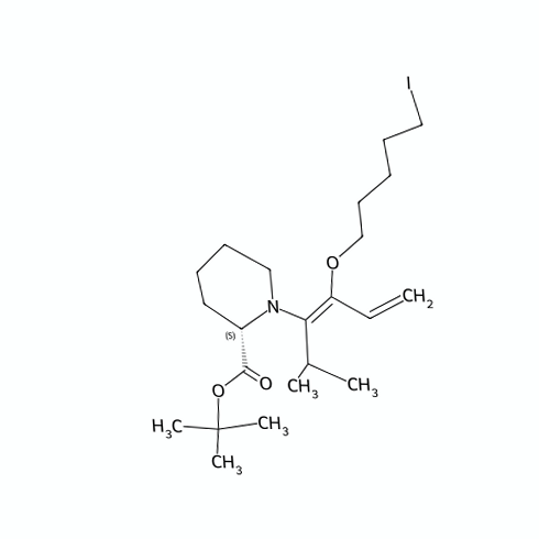 C=CC(OCCCCCI)=C(C(C)C)N1CCCC[C@H]1C(=O)OC(C)(C)C